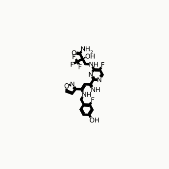 N=C(/C=C(\NCc1ccc(O)cc1F)c1ccon1)c1ncc(F)c(NC[C@@](O)(C(N)=O)C(F)(F)F)n1